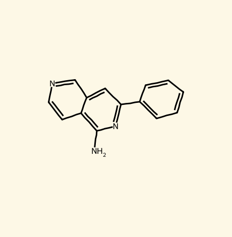 Nc1nc(-c2ccccc2)cc2cnccc12